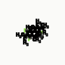 Cc1c(C)c(C(C)C)c(F)c(C)c1-c1c(C)c(F)c(C(C)C)c(F)c1C(C)C